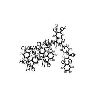 COc1cc2nc(N3CCN(C(=O)C4COc5ccccc5O4)CC3)nc(N)c2cc1OC.NS(=O)(=O)c1cc(C2(O)NC(=O)c3ccccc32)ccc1Cl.NS(=O)(=O)c1cc(C2(O)NC(=O)c3ccccc32)ccc1Cl